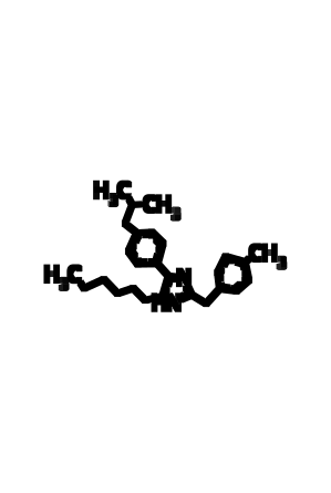 CCCCCCc1[nH]c(Cc2ccc(C)cc2)nc1-c1ccc(CC(C)C)cc1